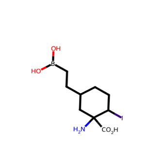 NC1(C(=O)O)CC(CCB(O)O)CCC1I